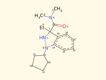 CCC1(C(=O)N(C)C)NN(C2CCCC2)c2ccccc21